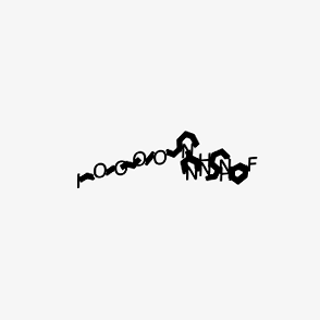 Fc1cccc(N2CCC[C@@H]3[C@H]2CCN3c2cc(N3CCCCC3CCOCCOCCOCCOCCI)ccn2)c1